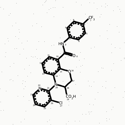 O=C(Nc1ccc(C(F)(F)F)cc1)c1cccc2c1OCC(C(=O)O)N2c1ncccc1Cl